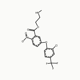 CNCCOC(=O)c1cc(Oc2ccc(C(F)(F)F)cc2Cl)ccc1[N+](=O)[O-]